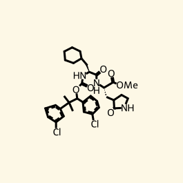 COC(=O)[C@H](CC1CCNC1=O)NC(=O)[C@H](CC1CCCCC1)NC(=O)OC(c1cccc(Cl)c1)C(C)(C)c1cccc(Cl)c1